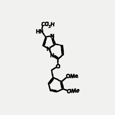 COc1cccc(COc2ccc3nc(NC(=O)O)cn3n2)c1OC